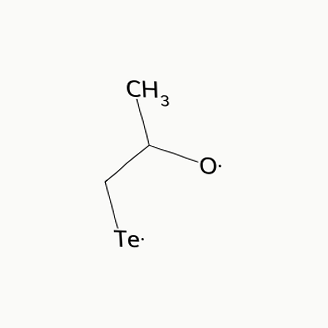 CC([O])C[Te]